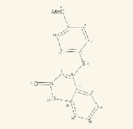 COc1ccc(Sc2cc(=O)oc3ccccc23)cc1